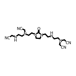 N#CCNCCN(CC#N)CCN1CCN(CCNCCN(CC#N)CC#N)C1=O